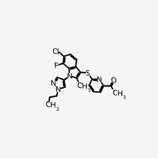 CCCn1cc(-n2c(C)c(Sc3cccc(C(C)=O)n3)c3ccc(Cl)c(F)c32)cn1